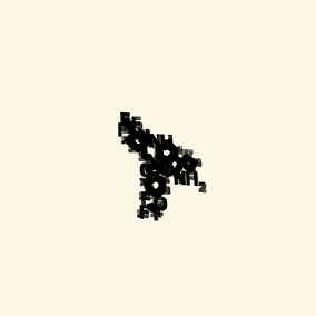 NC(=O)C1(c2ccc3c(c2)N(S(=O)(=O)c2ccc(OC(F)(F)F)cc2)Cc2ccc(C(F)(F)F)nc2N3)CCC1